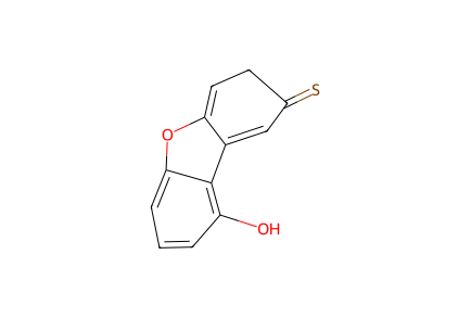 Oc1cccc2oc3c(c12)=CC(=S)CC=3